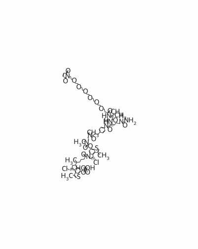 Cc1csc2c(OP(=O)(O)O)cc3c(c12)[C@H](CCl)CC3C(C)CCCC(=O)N1C[C@@H](CCl)c2c1cc(OC(=O)N(C)CCN(C)C(=O)CCc1ccc(NC(=O)[C@H](CCCNC(N)=O)NC(=O)[C@@H](NC(=O)CCOCCOCCOCCOCCOCCOCCN3C(=O)C=CC3=O)C(C)C)cc1)c1scc(C)c21